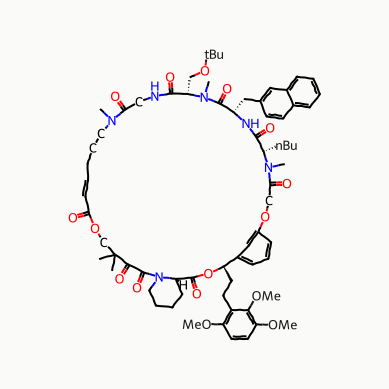 CCCC[C@H]1C(=O)N[C@@H](Cc2ccc3ccccc3c2)C(=O)N(C)[C@@H](COC(C)(C)C)C(=O)NCC(=O)N(C)CCC/C=C/C(=O)OCC(C)(C)C(=O)C(=O)N2CCCC[C@H]2C(=O)O[C@H](CCc2c(OC)ccc(OC)c2OC)c2cccc(c2)OCC(=O)N1C